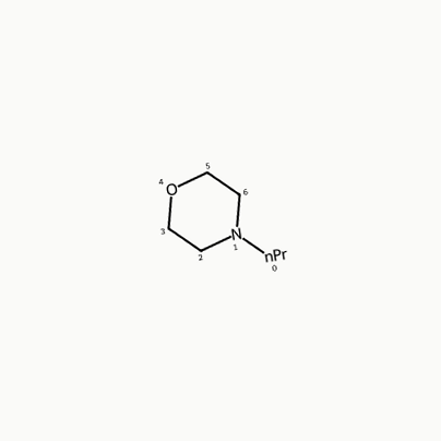 [C]CCN1CCOCC1